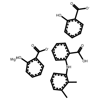 Cc1cccc(Nc2ccccc2C(=O)O)c1C.O=C([O-])c1ccccc1O.O=C([O-])c1ccccc1O.[Mg+2]